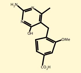 COc1cc(C(=O)O)ccc1Cc1c(C)nc(N)nc1O